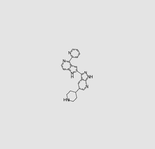 c1ccc(-c2nccc3[nH]c(-c4n[nH]c5ncc(C6CCNCC6)cc45)cc23)nc1